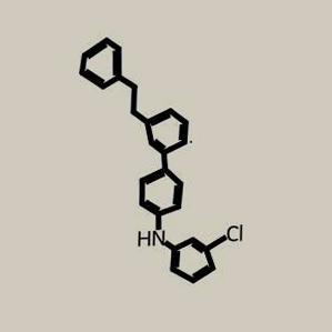 Clc1cccc(Nc2ccc(-c3[c]ccc(CCc4ccccc4)c3)cc2)c1